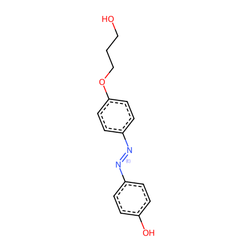 OCCCOc1ccc(/N=N/c2ccc(O)cc2)cc1